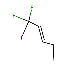 CC/C=C/C(F)(F)I